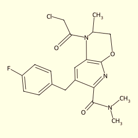 CC1COc2nc(C(=O)N(C)C)c(Cc3ccc(F)cc3)cc2N1C(=O)CCl